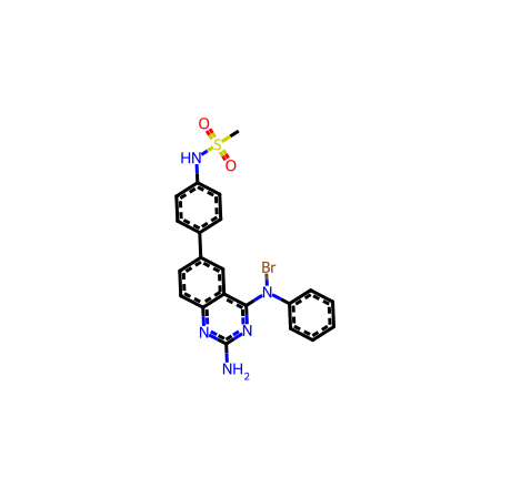 CS(=O)(=O)Nc1ccc(-c2ccc3nc(N)nc(N(Br)c4ccccc4)c3c2)cc1